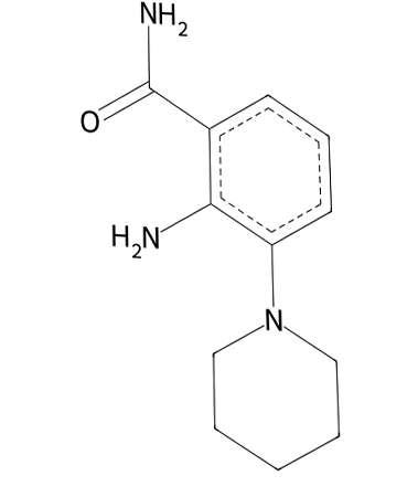 NC(=O)c1cccc(N2CCCCC2)c1N